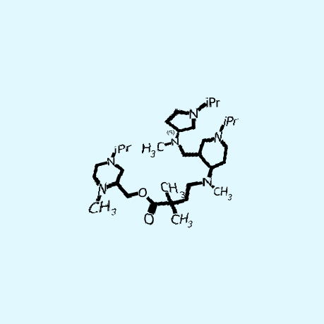 CC(C)N1CCC(N(C)CCC(C)(C)C(=O)OCC2CN(C(C)C)CCN2C)C(CN(C)[C@H]2CCN(C(C)C)C2)C1